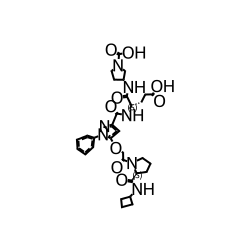 O=C(O)CC[C@H](NC(=O)c1cc(OCC(=O)N2CCC[C@H]2C(=O)NC2CCC2)n(-c2ccccc2)n1)C(=O)NC1CCN(C(=O)O)C1